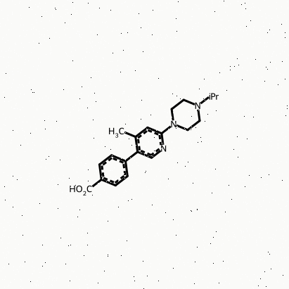 Cc1cc(N2CCN(C(C)C)CC2)ncc1-c1ccc(C(=O)O)cc1